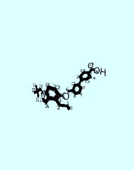 CCCc1c(OCc2cccc(-c3ccc(C(=O)O)cc3)c2)ccc2c1ccn2CC(C)(C)C